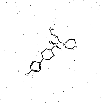 CC(=O)CCC(N1CCOCC1)S(=O)(=O)N1CCC(c2ccc(Cl)cc2)CC1